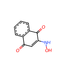 O=C1C=C(NO)C(=O)c2ccccc21